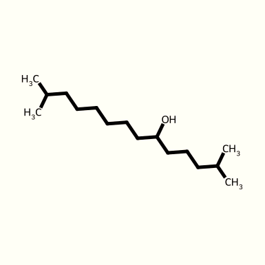 CC(C)CCCCCCC(O)CCCC(C)C